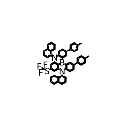 Cc1ccc(-c2ccc3c(c2)B2c4cc(-c5ccc(C)cc5)ccc4N(c4cccc5ccccc45)c4cc(SC(F)(F)F)cc(c42)N3c2cccc3ccccc23)cc1